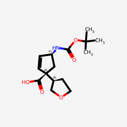 CC(C)(C)OC(=O)N[C@@H]1C=C[C@@](C(=O)O)([C@H]2CCOC2)C1